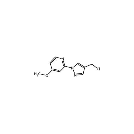 COc1ccnc(-n2cc(CCl)cn2)c1